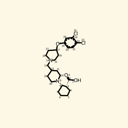 O=C(O)[C@@H]1CCCC[C@@H]1N1CCC(CN2CCC(Oc3ccc(Cl)c(Cl)c3)CC2)CC1